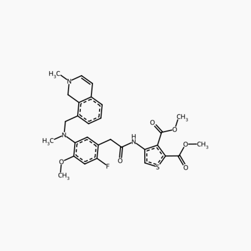 COC(=O)c1scc(NC(=O)Cc2cc(N(C)Cc3cccc4c3CN(C)C=C4)c(OC)cc2F)c1C(=O)OC